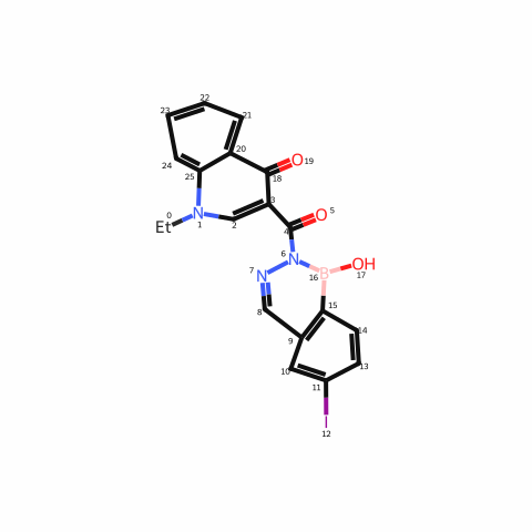 CCn1cc(C(=O)N2N=Cc3cc(I)ccc3B2O)c(=O)c2ccccc21